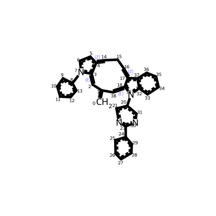 C=C1/C=c2\c(ccn2-c2ccccc2)=C/C/C=c2\c(n(-c3cnc(-c4ccccc4)nc3)c3ccccc23)=C/1